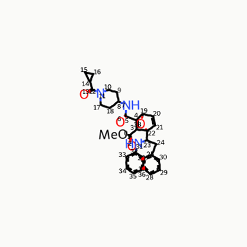 COC(=O)C1=C(C(=O)NC2CCN(C(=O)C3CC3)CC2)C2C=CC1(C(Cc1ccccc1)Nc1ccccc1)O2